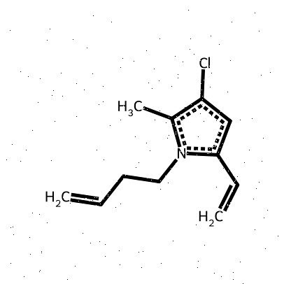 C=CCCn1c(C=C)cc(Cl)c1C